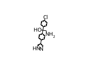 NCC(O)(c1ccc(Cl)cc1)c1ccc(-c2cn[nH]c2)cc1